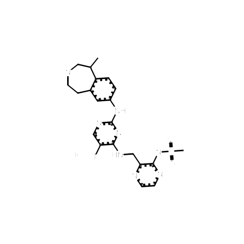 CC1CNCCc2cc(Nc3ncc(Cl)c(NCc4nccnc4NS(C)(=O)=O)n3)ccc21.Cl